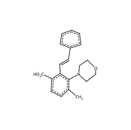 Cc1ccc(C(=O)O)c(C=Cc2ccccc2)c1N1CCOCC1